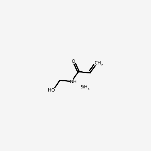 C=CC(=O)NCO.[SiH4]